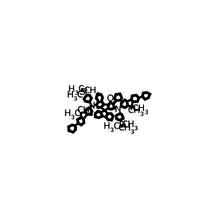 CC1(C)c2cc(-c3ccccc3)ccc2-c2ccc(N(c3ccc([Si](C)(C)C)cc3)c3cc4c(c5ccccc35)-c3c(cc(N(c5ccc([Si](C)(C)C)cc5)c5ccc6c(c5)C(C)(C)c5cc(-c7ccccc7)ccc5-6)c5c3oc3ccccc35)C43c4ccccc4-c4ccccc43)cc21